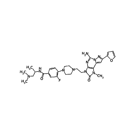 CC(CN(C)C)NC(=O)c1ccc(N2CCN(CCn3c(=O)n(C)c4c3nc(N)n3nc(-c5ccco5)cc43)CC2)c(F)c1